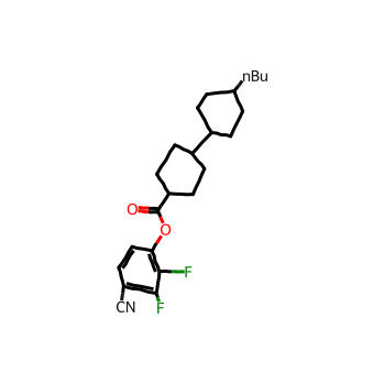 CCCCC1CCC(C2CCC(C(=O)Oc3ccc(C#N)c(F)c3F)CC2)CC1